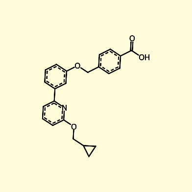 O=C(O)c1ccc(COc2cccc(-c3cccc(OCC4CC4)n3)c2)cc1